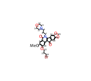 COc1cc2c(=O)n(CCCN3CCOCC3)c3c(c2cc1OCCCBr)C(=O)c1cc2c(cc1-3)OCO2